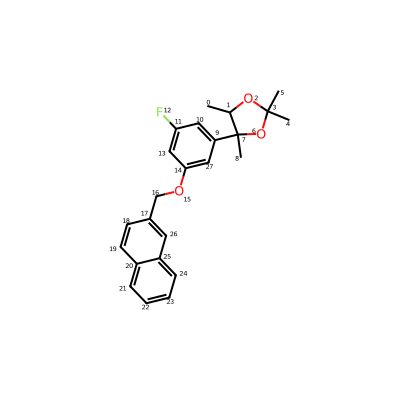 CC1OC(C)(C)OC1(C)c1cc(F)cc(OCc2ccc3ccccc3c2)c1